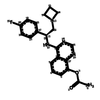 NC(=O)Oc1cccc2c(N[C@H](CN3CCC3)c3ccc(F)cc3)ncnc12